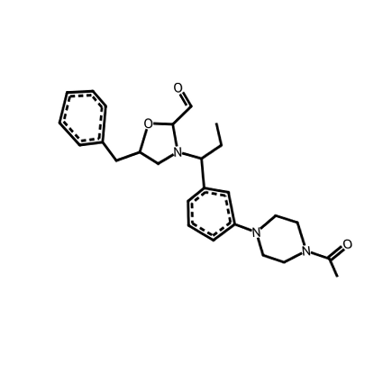 CCC(c1cccc(N2CCN(C(C)=O)CC2)c1)N1CC(Cc2ccccc2)OC1C=O